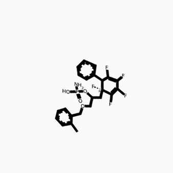 Cc1ccccc1COCC(C[C@]1(F)C(F)=C(F)C(F)=C(F)C1c1ccccc1)OP(N)(=O)O